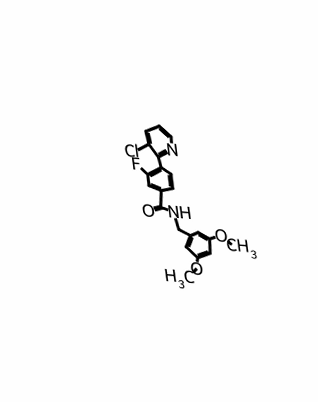 COc1cc(CNC(=O)c2ccc(-c3ncccc3Cl)c(F)c2)cc(OC)c1